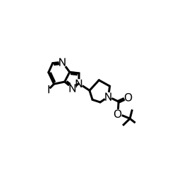 CC(C)(C)OC(=O)N1CCC(n2cc3nccc(I)c3n2)CC1